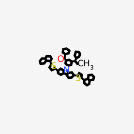 CC=C(c1ccccc1)c1cc(C(=O)c2ccccc2)cc(-n2c3cc(-c4ccc(-c5cccc6ccccc56)s4)ccc3c3ccc(-c4ccc(-c5cccc6ccccc56)s4)cc32)c1